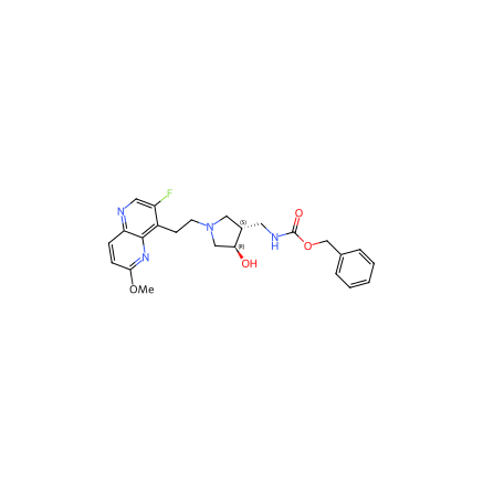 COc1ccc2ncc(F)c(CCN3C[C@H](CNC(=O)OCc4ccccc4)[C@@H](O)C3)c2n1